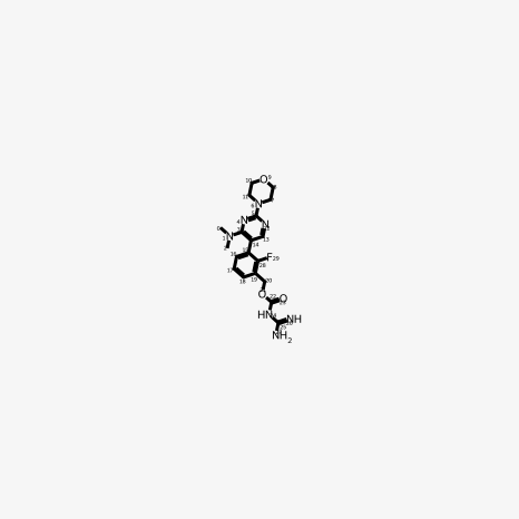 CN(C)c1nc(N2CCOCC2)ncc1-c1cccc(COC(=O)NC(=N)N)c1F